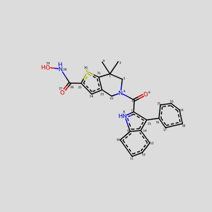 CC1(C)CN(C(=O)c2[nH]c3ccccc3c2-c2ccccc2)Cc2cc(C(=O)NO)sc21